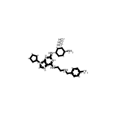 Cl.Cl.Cl.N[C@H]1CC[C@H](Nc2nc(NCCNCc3ccc(C(F)(F)F)cc3)c3ncn(C4CCCC4)c3n2)CC1